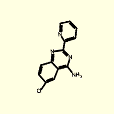 Nc1nc(-c2ccccn2)nc2ccc(Cl)cc12